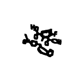 C[S+]([O-])c1ccc(C=C2C=Cc3ccccc32)cc1.Cc1c(C(=O)O)ccc(F)c1C(=O)O